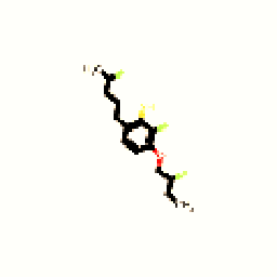 CCC(F)COc1ccc(CCCC(C)F)c(S)c1F